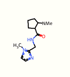 CNC1CCCC1C(=O)NCc1nccn1C